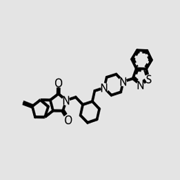 C=C1CC2CC1C1C(=O)N(CC3CCCCC3CN3CCN(c4nsc5ccccc45)CC3)C(=O)C21